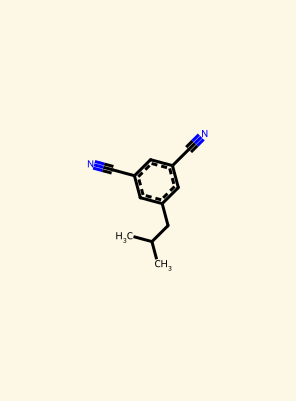 CC(C)Cc1cc(C#N)cc(C#N)c1